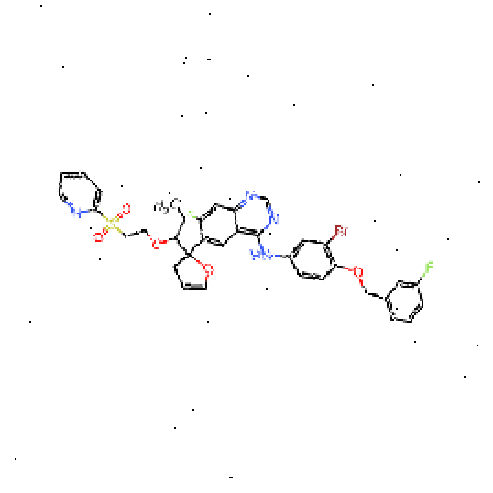 CCC(OCCS(=O)(=O)c1ccccn1)C1(c2cc3c(Nc4ccc(OCc5cccc(F)c5)c(Br)c4)ncnc3cc2F)CC=CO1